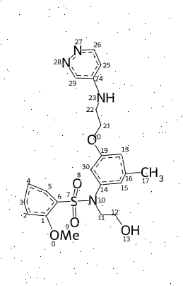 COc1ccccc1S(=O)(=O)N(CCO)c1cc(C)cc(OCCNc2ccnnc2)c1